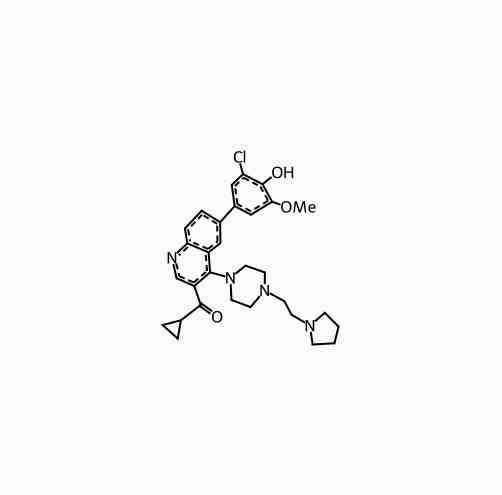 COc1cc(-c2ccc3ncc(C(=O)C4CC4)c(N4CCN(CCN5CCCC5)CC4)c3c2)cc(Cl)c1O